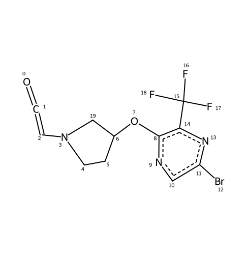 O=C=CN1CCC(Oc2ncc(Br)nc2C(F)(F)F)C1